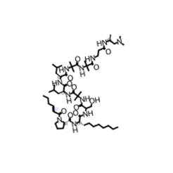 CCC/C=C/C(=O)N1CCC[C@H]1C(=O)N[C@@H](CCCCCCCC)C(=O)NC(CO)C(=O)NC(C)(C)C(=O)N[C@@H](CC(C)C)C(=O)N[C@@H](CC(C)C)C(=O)NC(C)(C)C(=O)NC(C)(C)C(=O)NCCC(=O)N[C@@H](C)CN(C)C